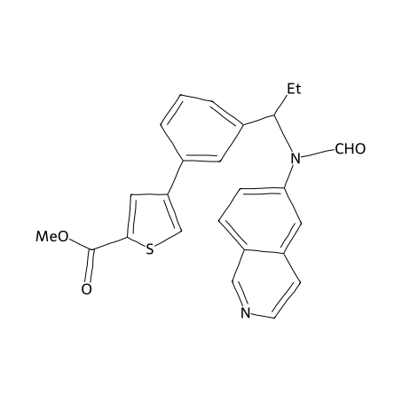 CCC(c1cccc(-c2csc(C(=O)OC)c2)c1)N(C=O)c1ccc2cnccc2c1